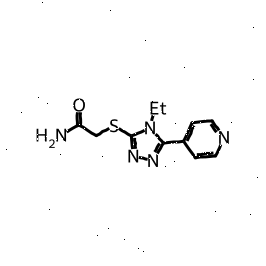 CCn1c(SCC(N)=O)nnc1-c1ccncc1